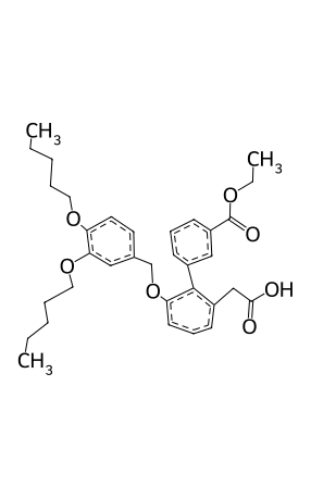 CCCCCOc1ccc(COc2cccc(CC(=O)O)c2-c2cccc(C(=O)OCC)c2)cc1OCCCCC